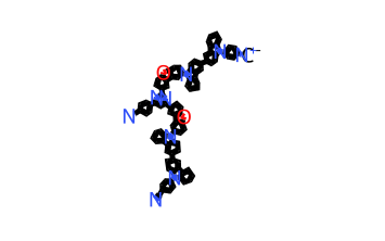 [C-]#[N+]c1ccc(-n2c3ccccc3c3cc(-c4ccc5c(c4)c4ccccc4n5-c4ccc5oc6ccc(-c7nc(-c8ccc(C#N)cc8)cc(-c8ccc9oc%10ccc(-n%11c%12ccccc%12c%12cc(-c%13ccc%14c(c%13)c%13ccccc%13n%14-c%13ccc(C#N)cc%13)ccc%12%11)cc%10c9c8)n7)cc6c5c4)ccc32)cc1